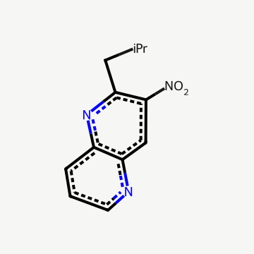 CC(C)Cc1nc2cccnc2cc1[N+](=O)[O-]